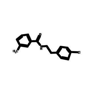 [CH2]c1cccc(C(=O)NCCc2ccc(Cl)cc2)c1